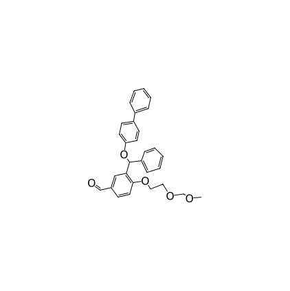 COCOCCOc1ccc(C=O)cc1C(Oc1ccc(-c2ccccc2)cc1)c1ccccc1